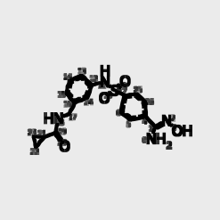 NC(=NO)c1ccc(S(=O)(=O)Nc2cccc(CNC(=O)C3CC3)c2)cc1